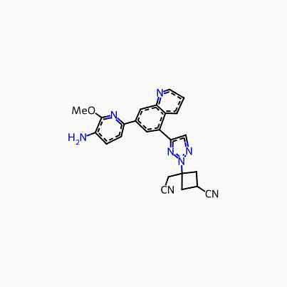 COc1nc(-c2cc(-c3cnn(C4(CC#N)CC(C#N)C4)n3)c3cccnc3c2)ccc1N